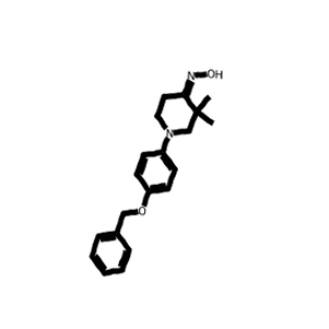 CC1(C)CN(c2ccc(OCc3ccccc3)cc2)CC/C1=N/O